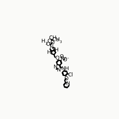 CC(C)(C)OC(=O)N1C[C@H]2CC(COc3cc4ncnc(Nc5ccc(OCc6ccccn6)c(Cl)c5)c4cc3[N+](=O)[O-])C[C@H]2C1